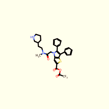 CN(CCC1CCCNC1)C(=O)Cn1c(-c2ccccc2)c(-c2ccccc2)c2sc(C(=O)OC(=O)C(F)(F)F)cc21